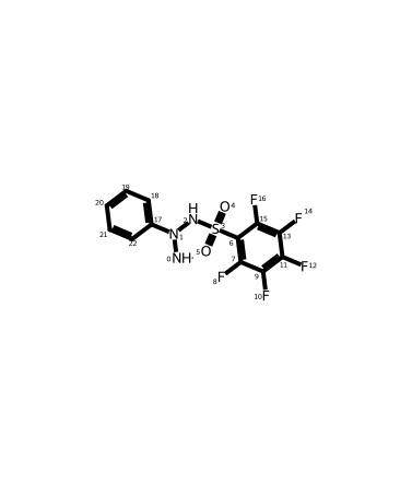 [NH]N(NS(=O)(=O)c1c(F)c(F)c(F)c(F)c1F)c1ccccc1